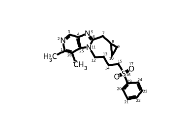 Cc1ncc2nc(CC3CC3)n(CCCCS(=O)(=O)c3ccccc3)c2c1C